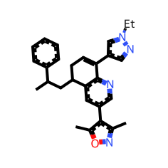 CCn1cc(C2=CCC(CC(C)c3ccccc3)c3cc(-c4c(C)noc4C)cnc32)cn1